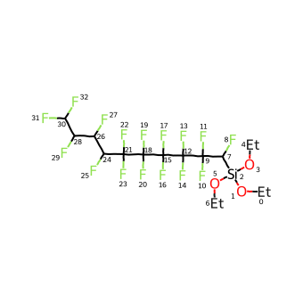 CCO[Si](OCC)(OCC)C(F)C(F)(F)C(F)(F)C(F)(F)C(F)(F)C(F)(F)C(F)C(F)C(F)C(F)F